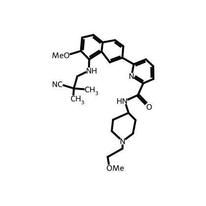 COCCN1CCC(NC(=O)c2cccc(-c3ccc4ccc(OC)c(NCC(C)(C)C#N)c4c3)n2)CC1